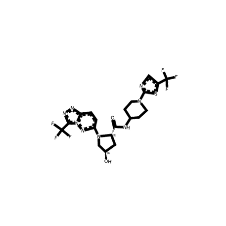 O=C(NC1CCN(c2ncc(C(F)(F)F)s2)CC1)[C@@H]1C[C@@H](O)CN1c1ccc2nnc(C(F)(F)F)n2n1